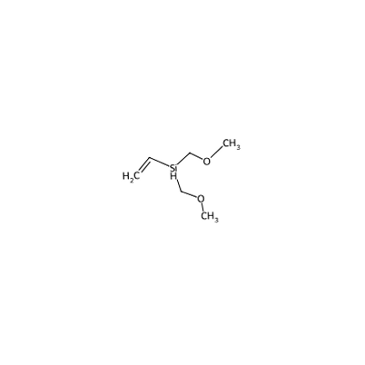 C=C[SiH](COC)COC